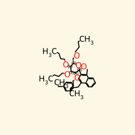 CCCCOC[C@H]1O[C@]2(OCc3c2cc(Cc2ccc(CC)cc2)c2ccccc32)[C@H](OCCCC)[C@@H](OCCCC)[C@@H]1OCCCC